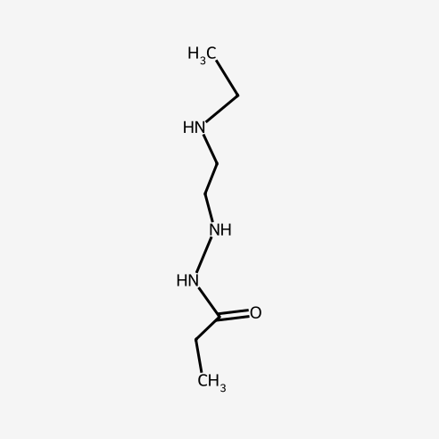 CCNCCNNC(=O)CC